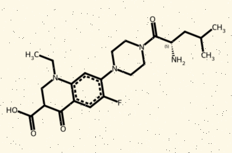 CCN1CC(C(=O)O)C(=O)c2cc(F)c(N3CCN(C(=O)[C@@H](N)CC(C)C)CC3)cc21